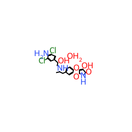 CC(Cc1ccc(OC2=C(O)C(=O)NC2=O)cc1)NCC(O)c1cc(Cl)c(N)c(Cl)c1.O